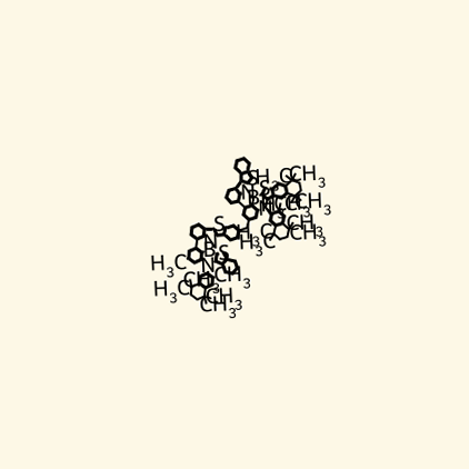 Cc1cc2c3c(c1)N(c1cc4c(cc1C)C(C)(C)CCC4(C)C)c1c(sc4ccccc14)B3n1c3c-2cccc3c2sc3cc(Cc4cc5c6c(c4)N(c4cc7c(cc4C)C(C)(C)CCC7(C)C)c4c(sc7cc8c(cc47)C(C)(C)CCC8(C)C)B6n4c6sc7ccccc7c6c6cccc-5c64)ccc3c21